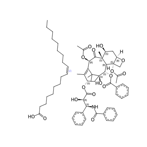 CC(=O)O[C@H]1C(=O)[C@@]2(C)[C@H]([C@H](OC(=O)c3ccccc3)[C@]3(O)C[C@H](OC(=O)[C@H](O)[C@@H](NC(=O)c4ccccc4)c4ccccc4)C(C)=C1C3(C)C)[C@]1(OC(C)=O)CO[C@@H]1C[C@@H]2O.CCCCCCCC/C=C\CCCCCCCC(=O)O